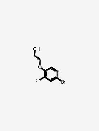 OCCOc1c[c]c(Br)cc1Cl